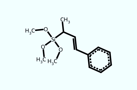 CO[Si](OC)(OC)C(C)/C=C/c1ccccc1